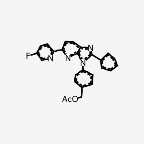 CC(=O)OCc1ccc(-n2c(-c3ccccc3)nc3ccc(-c4ccc(F)cn4)nc32)cc1